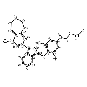 COCCOc1cc(F)c(Cn2nc(C3=NC(Cl)C4=CCCCCC4=N3)c3ccccc32)c(F)c1